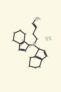 CC=CC[CH2][Hf+2]([CH]1C=CC2=C1CCCC2)[CH]1C=CC2=C1CCCC2.[Cl-].[Cl-]